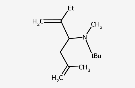 C=C(C)CC(C(=C)CC)N(C)C(C)(C)C